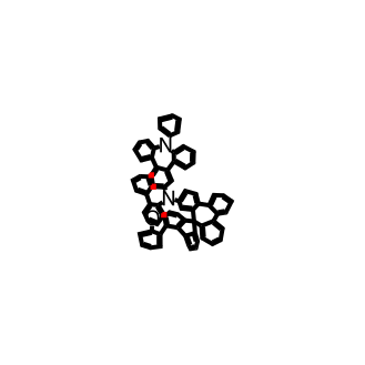 c1ccc(-c2ccccc2N(c2ccc3c(c2)-c2ccccc2N(c2ccccc2)c2ccccc2-3)c2ccc3c(c2)C2(c4ccccc4-c4ccccc4-3)c3ccccc3-c3c2ccc2oc4ccccc4c32)cc1